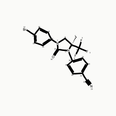 C[C@@]1(C(F)(F)F)CN(c2ccc(Br)cc2)C(=O)N1c1ccc(C#N)cc1